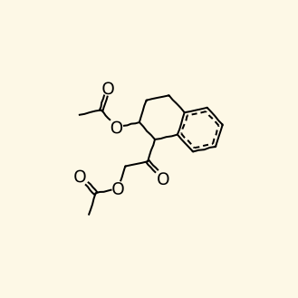 CC(=O)OCC(=O)C1c2ccccc2CCC1OC(C)=O